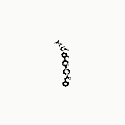 CC(=O)NC[C@H]1CN(c2ccc(-c3cnc(N4CCN(C(=O)Cc5ccccc5)CC4)nc3)c(F)c2)C(=O)O1